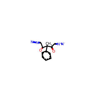 CC(C(=O)C=[N+]=[N-])(C(=O)C=[N+]=[N-])c1ccccc1